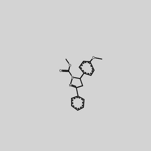 COC(=O)N1N=C(c2ccccc2)CC1c1ccc(OC)cc1